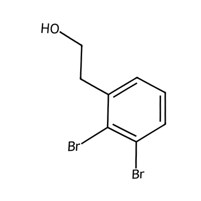 OCCc1cccc(Br)c1Br